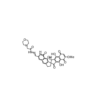 COC1=CC(=O)c2c(O)c3c(c(O)c2C1=O)C(=O)C1(CCc2cc4cc(/C=N/NC(=O)CN5CCOCC5)[nH]c(=O)c4c(O)c21)C3=O